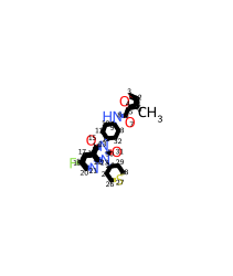 Cc1ccoc1C(=O)NC1CCC(n2c(=O)c3cc(F)cnc3n(C3CCSCC3)c2=O)CC1